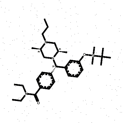 CCCN1C[C@@H](C)N([C@@H](c2ccc(C(=O)N(CC)CC)cc2)c2cccc(O[Si](C)(C)C(C)(C)C)c2)C[C@H]1C